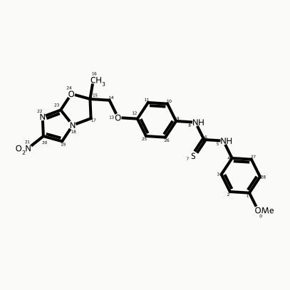 COc1ccc(NC(=S)Nc2ccc(OCC3(C)Cn4cc([N+](=O)[O-])nc4O3)cc2)cc1